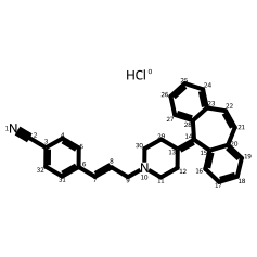 Cl.N#Cc1ccc(/C=C/CN2CCC(=C3c4ccccc4C=Cc4ccccc43)CC2)cc1